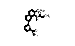 C=CC(=O)Nc1c(OC)ccc2ccc(-c3cccc(C(N)=O)n3)cc12